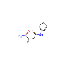 C=C(CC(=S)Nc1ccccc1)C(N)=O